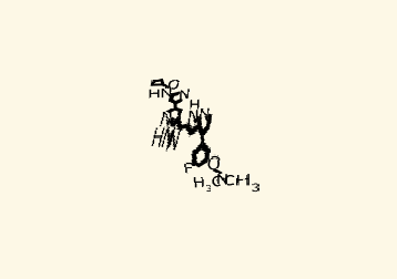 CN(C)CCOc1cc(F)cc(-c2ccnc3[nH]c(-c4n[nH]c5ncc(-c6cncc(NC(=O)C7CCC7)c6)cc45)cc23)c1